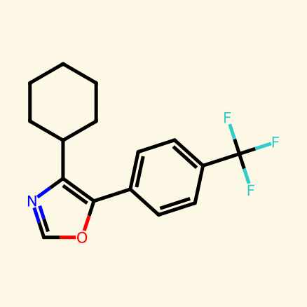 FC(F)(F)c1ccc(-c2ocnc2C2CCCCC2)cc1